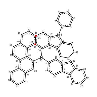 C1=c2c(n(-c3ccccc3)c3cccc(N(c4ccc5c(c4)sc4ccccc45)c4cc5ccccc5c5ccc6ccccc6c45)c23)=CCC1